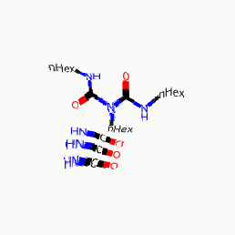 CCCCCCNC(=O)N(CCCCCC)C(=O)NCCCCCC.N=C=O.N=C=O.N=C=O